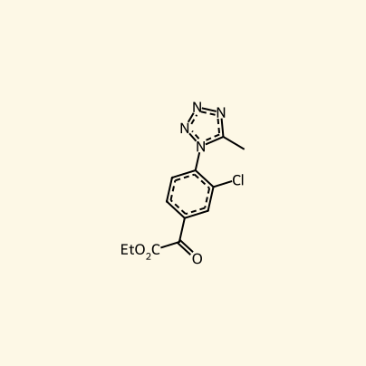 CCOC(=O)C(=O)c1ccc(-n2nnnc2C)c(Cl)c1